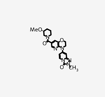 CO[C@@H]1CCCN(C(=O)c2cnc3c(c2)OCCN3c2ccn3c(=O)n(C)nc3c2)C1